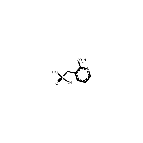 O=C(O)c1ncccc1CP(=O)(O)O